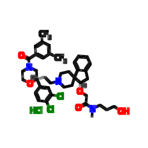 CN(CCCO)C(=O)CO[C@H]1Cc2ccccc2C12CCN(CC[C@@]1(c3ccc(Cl)c(Cl)c3)CN(C(=O)c3cc(C(F)(F)F)cc(C(F)(F)F)c3)CCO1)CC2.Cl